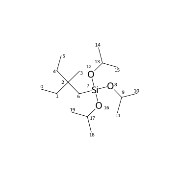 CCC(C)(CC)C[Si](OC(C)C)(OC(C)C)OC(C)C